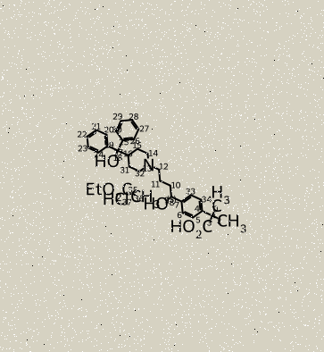 CC(C)(C(=O)O)c1ccc([C@@H](O)CCCN2CCC(C(O)(c3ccccc3)c3ccccc3)CC2)cc1.CCOC(C)=O.Cl